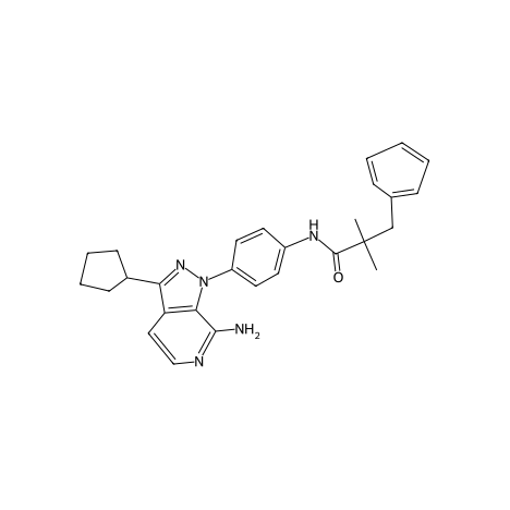 CC(C)(Cc1ccccc1)C(=O)Nc1ccc(-n2nc(C3CCCC3)c3ccnc(N)c32)cc1